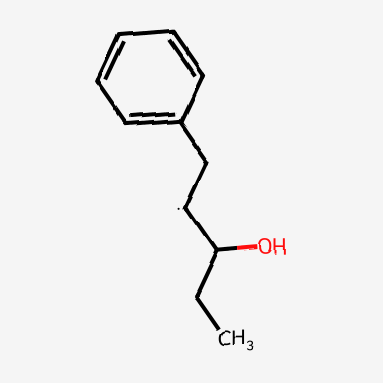 CCC(O)[CH]Cc1ccccc1